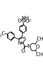 CC1CN(C(=O)c2nc(-c3ccc(C(F)(F)F)cc3)c(-c3ccc(S(N)(=O)=O)cc3)s2)CC(C)O1